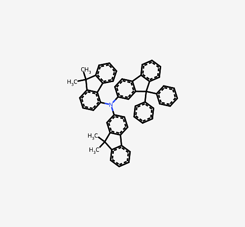 CC1(C)c2ccccc2-c2ccc(N(c3ccc4c(c3)C(c3ccccc3)(c3ccccc3)c3ccccc3-4)c3cccc4c3-c3ccccc3C4(C)C)cc21